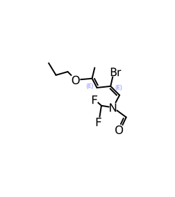 CCCO/C(C)=C/C(Br)=C\N(C=O)C(F)F